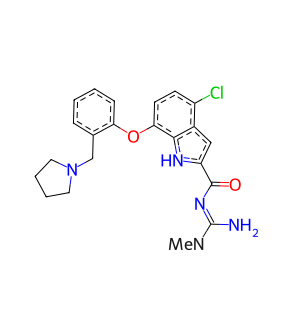 CNC(N)=NC(=O)c1cc2c(Cl)ccc(Oc3ccccc3CN3CCCC3)c2[nH]1